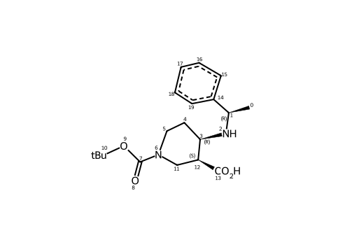 C[C@@H](N[C@@H]1CCN(C(=O)OC(C)(C)C)C[C@@H]1C(=O)O)c1ccccc1